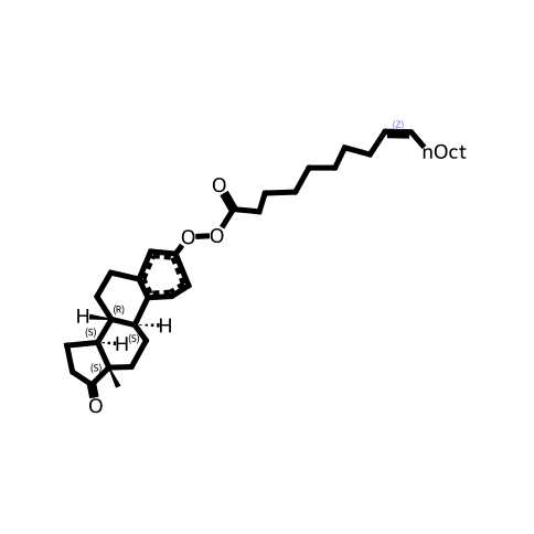 CCCCCCCC/C=C\CCCCCCCC(=O)OOc1ccc2c(c1)CC[C@@H]1[C@@H]2CC[C@]2(C)C(=O)CC[C@@H]12